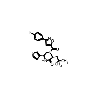 CC(C)C[C@H]1C(=O)N[C@@H](c2ccsc2)CN1C(=O)c1cc(-c2ccc(F)cc2)no1